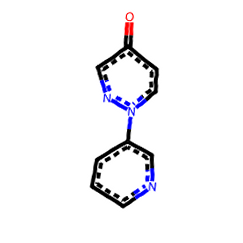 O=c1ccn(-c2cccnc2)nc1